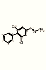 NN=Nc1cc(Cl)c(-c2ccccc2)c(Cl)c1